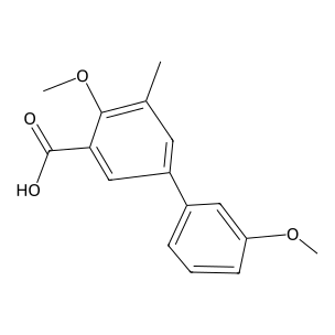 COc1cccc(-c2cc(C)c(OC)c(C(=O)O)c2)c1